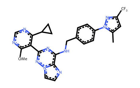 COc1ncnc(C2CC2)c1-c1nc(NCc2ccc(-n3nc(C(F)(F)F)cc3C)cc2)c2nccn2n1